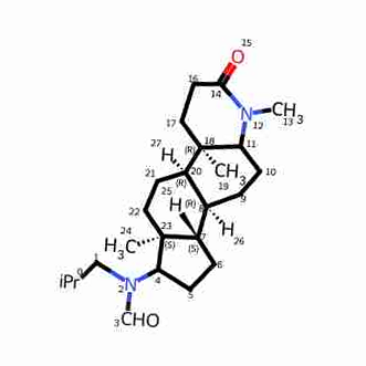 CC(C)CN(C=O)C1CC[C@H]2[C@@H]3CCC4N(C)C(=O)CC[C@]4(C)[C@@H]3CC[C@]12C